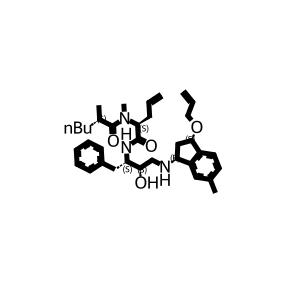 C=CCO[C@H]1C[C@@H](NC[C@H](O)[C@H](Cc2ccccc2)NC(=O)[C@H](CC=C)N(C)C(=O)[C@@H](C)CCCC)c2cc(C)ccc21